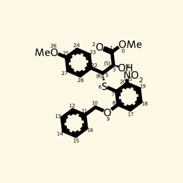 COC(=O)[C@H](O)[C@H](Sc1c(OCc2ccccc2)cccc1[N+](=O)[O-])c1ccc(OC)cc1